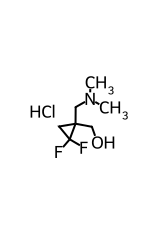 CN(C)CC1(CO)CC1(F)F.Cl